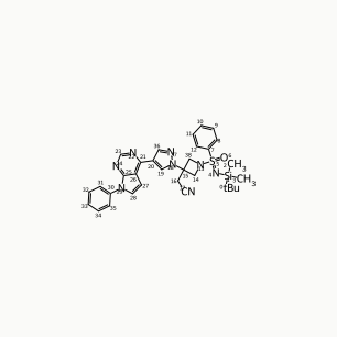 CC(C)(C)[Si](C)(C)N=S(=O)(c1ccccc1)N1CC(CC#N)(n2cc(-c3ncnc4c3ccn4-c3ccccc3)cn2)C1